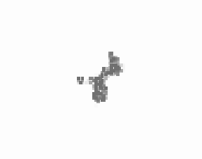 COc1cc(COC(=O)Nc2cc(Cl)cc(OC(F)F)c2)cc2c1CN(C1CCC(=O)NC1=O)C2=O